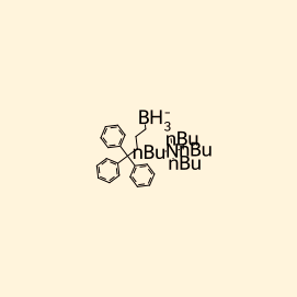 CCCC[N+](CCCC)(CCCC)CCCC.[BH3-]CCCC(c1ccccc1)(c1ccccc1)c1ccccc1